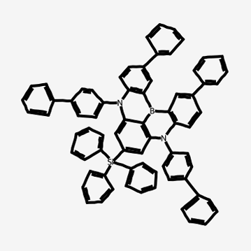 c1ccc(-c2ccc(N3c4ccc(-c5ccccc5)cc4B4c5cc(-c6ccccc6)ccc5N(c5ccc(-c6ccccc6)cc5)c5cc([Si](c6ccccc6)(c6ccccc6)c6ccccc6)cc3c54)cc2)cc1